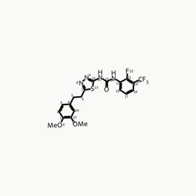 COc1ccc(CCc2nnc(NC(=O)Nc3cccc(C(F)(F)F)c3F)s2)cc1OC